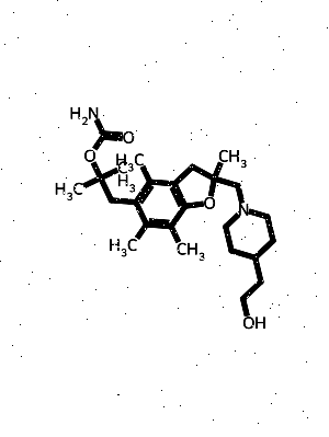 Cc1c(C)c2c(c(C)c1CC(C)(C)OC(N)=O)CC(C)(CN1CCC(CCO)CC1)O2